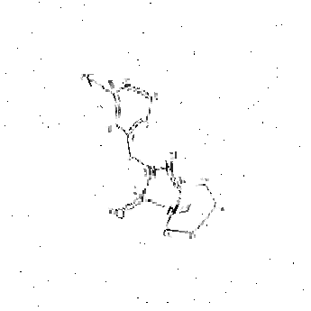 O=c1n(Cc2cccc(F)c2)nc2n1CCCC2